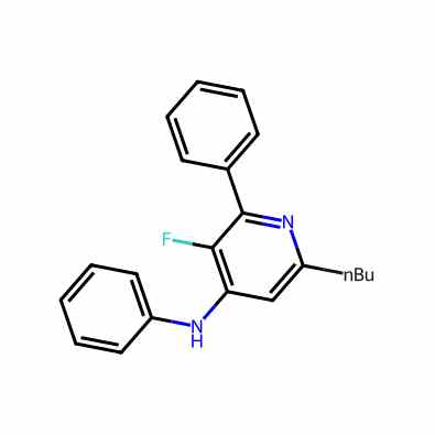 CCCCc1cc(Nc2ccccc2)c(F)c(-c2ccccc2)n1